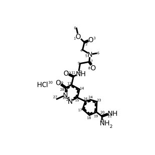 COC(=O)CN(C)C(=O)CNC(=O)c1cc(-c2ccc(C(=N)N)cc2)nn(C)c1=O.Cl